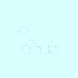 CN1CCN([C@@H]2C[C@@H](c3ccc(F)cc3)c3ccccc32)CC1(C)C